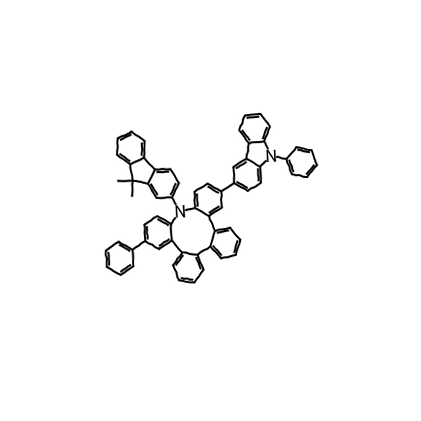 CC1(C)c2ccccc2-c2ccc(-n3c4ccc(-c5ccccc5)cc4c4ccccc4c4ccccc4c4cc(-c5ccc6c(c5)c5ccccc5n6-c5ccccc5)ccc43)cc21